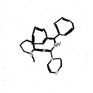 CN1CCCCC1=[N+]=C(NC(c1ccccc1)c1ccccc1)N1CCOCC1